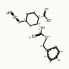 N=[N+]=N[C@H]1CC[C@H](C(=O)[O-])[C@H](NC(=O)OCc2ccccc2)C1